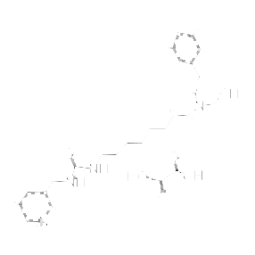 CCN(CCCCCCCCNC(=O)NCc1cccnc1)OCc1ccccc1.O=C(O)C(=O)O